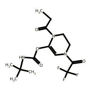 CCC(=O)N1CCN(C(=O)C(F)(F)F)C=C1OC(=O)NC(C)(C)C